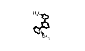 C=CN1C=CC=CC1c1cccc(-c2cccc(C)c2)c1